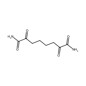 NC(=O)C(=O)CCCCC(=O)C(N)=O